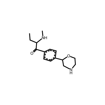 CCC(NC)C(=O)c1ccc(C2CNCCO2)cc1